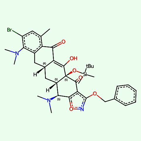 Cc1cc(Br)c(N(C)C)c2c1C(=O)C1=C(O)[C@]3(O[Si](C)(C)C(C)(C)C)C(=O)c4c(OCc5ccccc5)noc4[C@@H](N(C)C)[C@@H]3C[C@@H]1C2